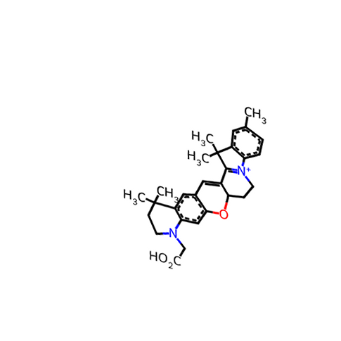 Cc1ccc2c(c1)C(C)(C)C1=[N+]2CCC2Oc3cc4c(cc3C=C12)C(C)(C)CCN4CC(=O)O